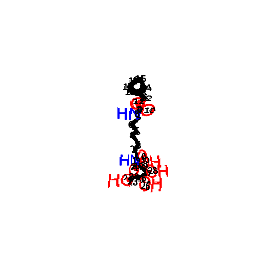 O=C(CCCCCCNC(=O)OCc1ccccc1)N[C@@H]1O[C@H](CO)[C@H](O)[C@H](O)[C@H]1O